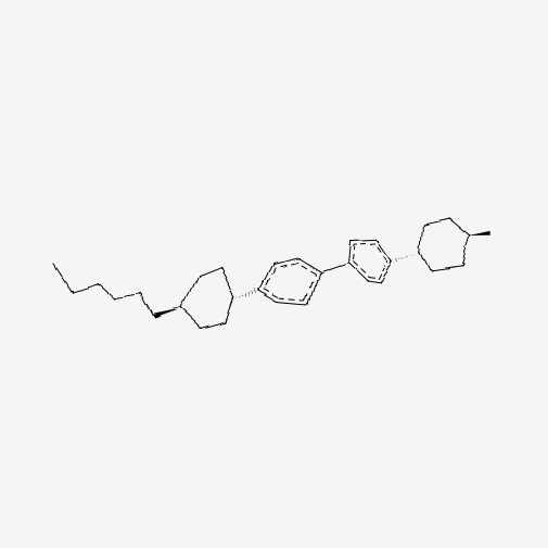 CCCCCC[C@H]1CC[C@H](c2ccc(-c3ccc([C@H]4CC[C@H](C)CC4)cc3)cc2)CC1